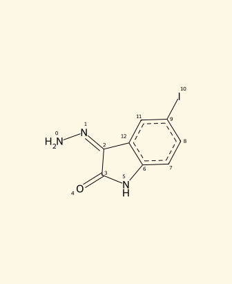 NN=C1C(=O)Nc2ccc(I)cc21